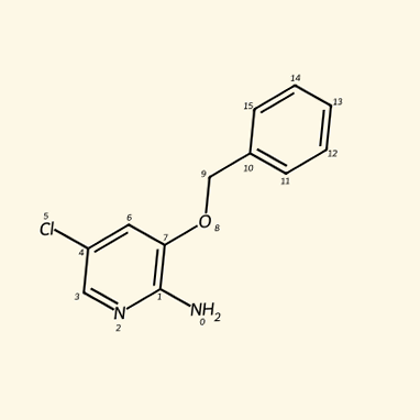 Nc1ncc(Cl)cc1OCc1ccccc1